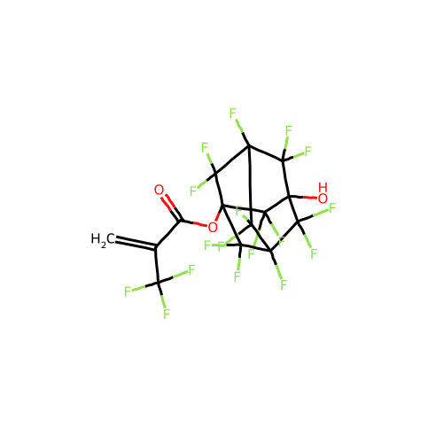 C=C(C(=O)OC12C(F)(F)C3(O)C(F)(F)C(F)(C(F)(F)C(F)(C3(F)F)C1(F)F)C2(F)F)C(F)(F)F